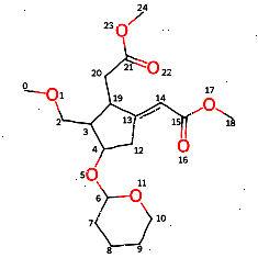 COCC1C(OC2CCCCO2)CC(=CC(=O)OC)C1CC(=O)OC